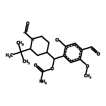 COc1cc(C(OC(N)=O)C2CCN([C]=O)C(C(C)(C)C)C2)c(Cl)cc1C=O